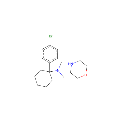 C1COCCN1.CN(C)C1(c2ccc(Br)cc2)CCCCC1